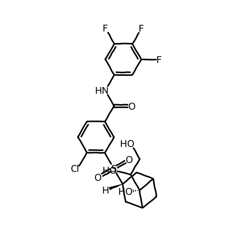 O=C(Nc1cc(F)c(F)c(F)c1)c1ccc(Cl)c(S(=O)(=O)[C@H]2CC3CC(C2)[C@]3(O)C(O)CO)c1